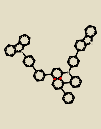 c1ccc(-c2ccccc2-c2ccccc2N(c2ccc(-c3cccc(-c4ccc(-n5c6ccccc6c6ccccc65)cc4)c3)cc2)c2ccc(-c3ccc4c(c3)oc3ccccc34)cc2)cc1